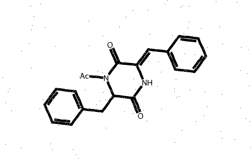 CC(=O)N1C(=O)C(=Cc2ccccc2)NC(=O)C1Cc1ccccc1